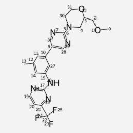 COCC1CN(c2ncc(-c3cc(C)cc(Nc4nccc(C(F)(F)F)n4)c3)cn2)CCO1